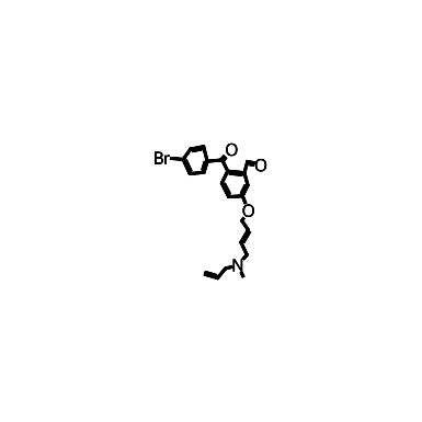 C=CCN(C)CC=CCOc1ccc(C(=O)c2ccc(Br)cc2)c(C=O)c1